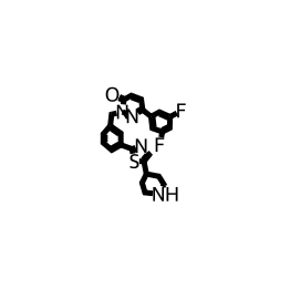 O=c1ccc(-c2cc(F)cc(F)c2)nn1Cc1cccc(-c2ncc(C3CCNCC3)s2)c1